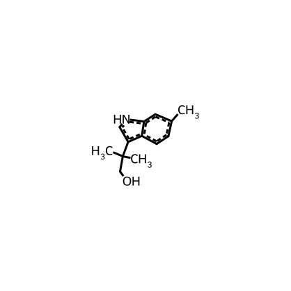 Cc1ccc2c(C(C)(C)CO)c[nH]c2c1